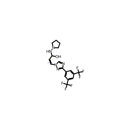 OC(/C=C\n1cnc(-c2cc(C(F)(F)F)cc(C(F)(F)F)c2)n1)NN1CCCC1